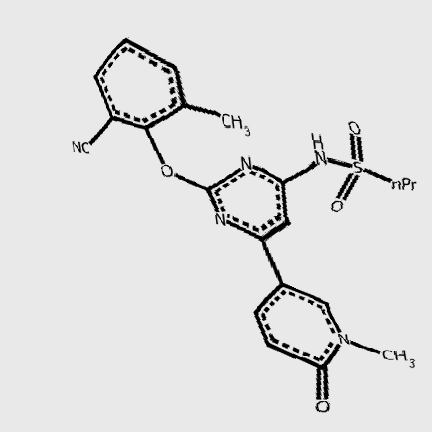 CCCS(=O)(=O)Nc1cc(-c2ccc(=O)n(C)c2)nc(Oc2c(C)cccc2C#N)n1